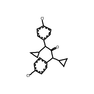 O=C(C(c1ccc(Cl)cc1)C1CC1)C(c1ccc(Cl)cc1)C1CC1